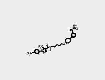 CC(C)C(=O)Nc1cccc(C2CCN(CCCCCCNC(=O)c3cnn(-c4ccc([N+](=O)[O-])cc4)c3C(F)(F)F)CC2)c1